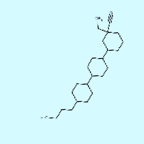 CCCCC1CCC(C2CCC(C3CCCC(C#N)(CC)C3)CC2)CC1